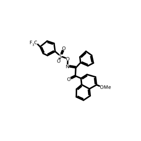 COc1ccc(C(=O)/C(=N/OS(=O)(=O)c2ccc(C(F)(F)F)cc2)c2ccccc2)c2ccccc12